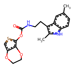 Cc1ccc2[nH]c(C)c(CCNC(=O)Oc3scc4c3OCCO4)c2c1